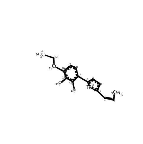 C/C=C\c1ccc(-c2ccc(OCC)c(F)c2F)[te]1